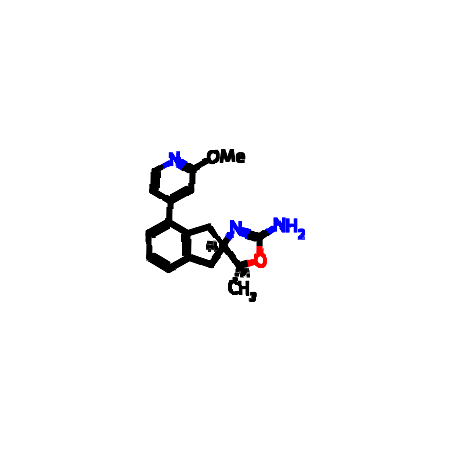 COc1cc(-c2cccc3c2C[C@@]2(C3)N=C(N)O[C@@H]2C)ccn1